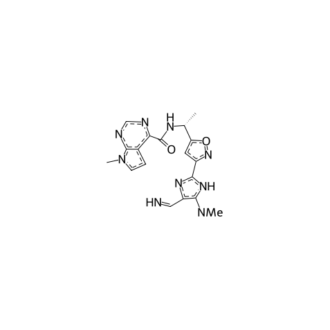 CNc1[nH]c(-c2cc([C@@H](C)NC(=O)c3ncnc4c3ccn4C)on2)nc1C=N